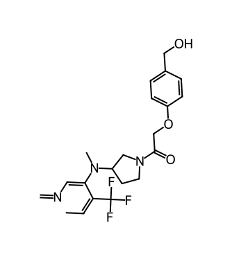 C=N/C=C(\C(=C/C)C(F)(F)F)N(C)C1CCN(C(=O)COc2ccc(CO)cc2)C1